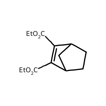 CCOC(=O)C1=C(C(=O)OCC)C2CCC1C2